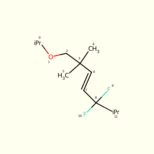 CC(C)OCC(C)(C)/C=C/C(F)(F)C(C)C